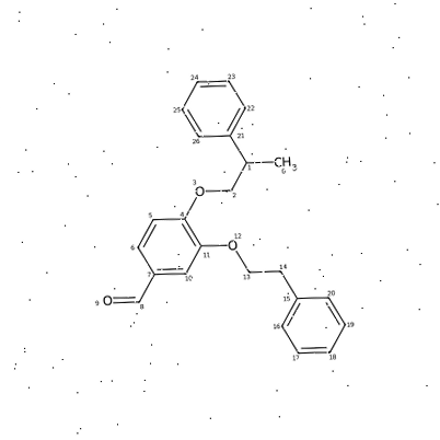 CC(COc1ccc(C=O)cc1OCCc1ccccc1)c1ccccc1